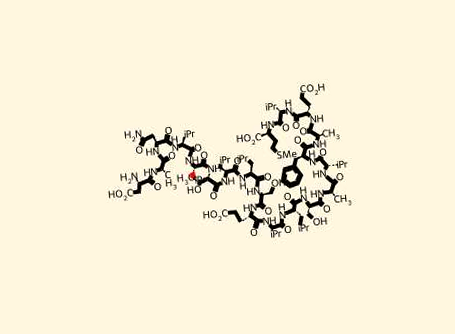 CSCC[C@H](NC(=O)[C@@H](NC(=O)[C@H](CCC(=O)O)NC(=O)[C@H](C)NC(=O)[C@H](Cc1ccccc1)NC(=O)[C@@H](NC(=O)[C@H](C)NC(=O)[C@H](CO)NC(=O)[C@H](CC(C)C)NC(=O)[C@@H](NC(=O)[C@H](CCC(=O)O)NC(=O)[C@H](CO)NC(=O)[C@H](CC(C)C)NC(=O)[C@H](CC(C)C)NC(=O)[C@@H](NC(=O)[C@H](CC(C)C)NC(=O)[C@@H](NC(=O)[C@H](CC(N)=O)NC(=O)[C@H](C)NC(=O)[C@@H](N)CC(=O)O)C(C)C)[C@@H](C)O)C(C)C)C(C)C)C(C)C)C(=O)O